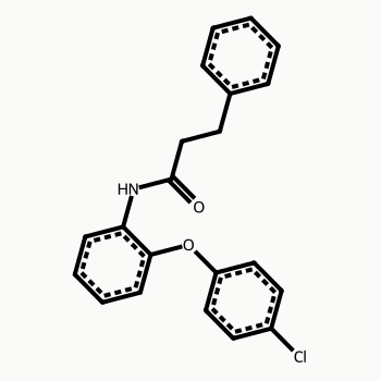 O=C(CCc1ccccc1)Nc1ccccc1Oc1ccc(Cl)cc1